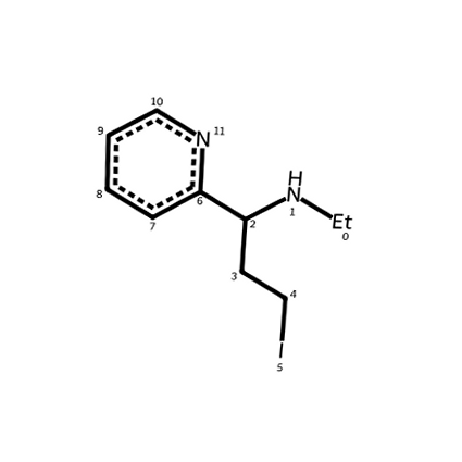 CCNC(CCI)c1ccccn1